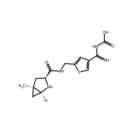 C[C@]12C[C@@H](C(=O)NCc3cc(C(=N)NC(=O)O)cs3)N[C@H]1C2